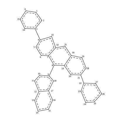 c1ccc(-c2ccc3c(-c4ccc5ccccc5c4)c4cc(-c5ccccc5)ccc4cc3c2)cc1